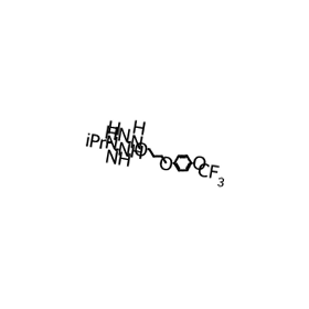 CC(C)NC(=N)NC(=N)NOCCCOc1ccc(OC(F)(F)F)cc1